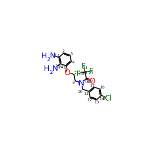 Nc1cccc(OCCN(Cc2ccc(Cl)cc2)C(=O)C(F)(F)F)c1N